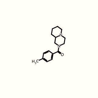 Cc1ccc(C(=O)N2CCN3CCCCC3C2)cc1